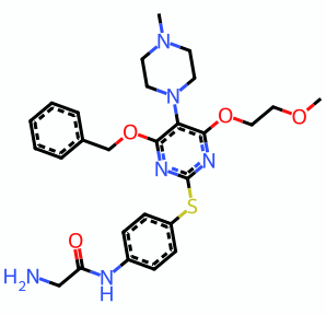 COCCOc1nc(Sc2ccc(NC(=O)CN)cc2)nc(OCc2ccccc2)c1N1CCN(C)CC1